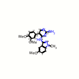 COc1ccc2c(c1)c(Nc1nc(N)ncc1-c1ccc(OC)c(OC)c1)nn2C